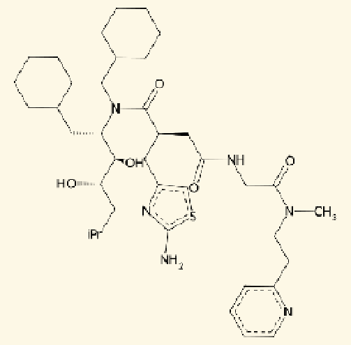 CC(C)C[C@H](O)[C@H](O)[C@H](CC1CCCCC1)N(CC1CCCCC1)C(=O)[C@@H](CC(=O)NCC(=O)N(C)CCc1ccccn1)Cc1csc(N)n1